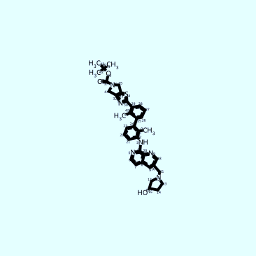 Cc1c(Nc2nccc3cc(CN4CC[C@@H](O)C4)cnc23)cccc1-c1cccc(-c2nc3c(s2)CN(C(=O)OC(C)(C)C)C3)c1C